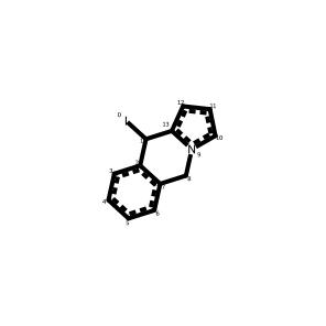 IC1c2ccccc2Cn2cccc21